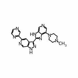 CN1CCN(c2cncc3[nH]c(-c4n[nH]c5cnc(-c6cnccn6)cc45)nc23)CC1